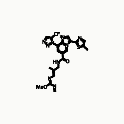 C=N/C(=N\C=C(/C)CNC(=O)c1cc(-n2nncc2C(F)(F)F)c2ncc(-c3ncc(C)s3)n2c1)OC